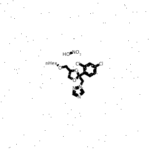 CCCCCCOCC1COC(Cn2cncn2)(c2ccc(Cl)cc2Cl)O1.O=[N+]([O-])O